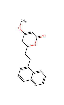 COC1=CC(=O)OC(CCc2cccc3ccccc23)C1